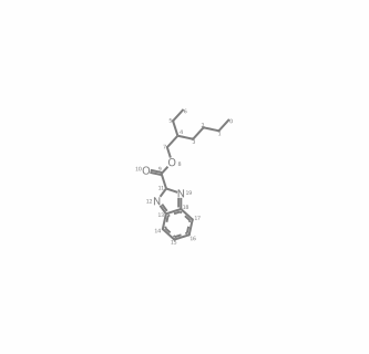 CCCCC(CC)COC(=O)C1N=c2ccccc2=N1